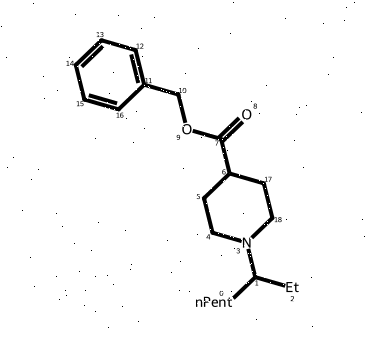 CCCCCC(CC)N1CCC(C(=O)OCc2ccccc2)CC1